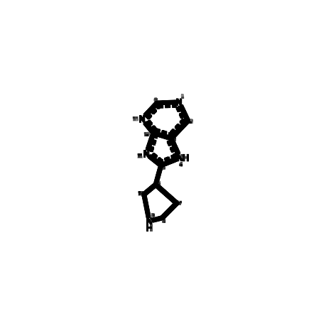 c1ncc2[nH]c(C3CCNC3)nc2n1